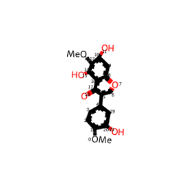 COc1ccc(-c2coc3cc(O)c(OC)c(O)c3c2=O)cc1O